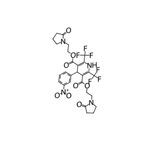 O=C(OCCN1CCCC1=O)C1=C(C(F)(F)F)NC(C(F)(F)F)=C(C(=O)OCCN2CCCC2=O)C1c1cccc([N+](=O)[O-])c1